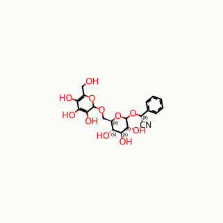 N#C[C@H](OC1O[C@H](COC2OC(CO)=C(O)C(O)=C2O)[C@@H](O)[C@H](O)[C@H]1O)c1ccccc1